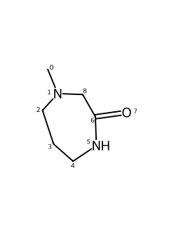 CN1CCCNC(=O)C1